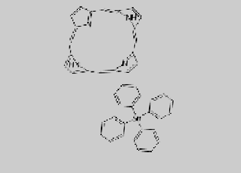 C1=Cc2cc3ccc(cc4nc(cc5ccc(cc1n2)[nH]5)C=C4)[nH]3.c1cc[c]([Sn]([c]2ccccc2)([c]2ccccc2)[c]2ccccc2)cc1